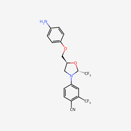 N#Cc1ccc(N2C[C@@H](COc3ccc(N)cc3)O[C@@H]2C(F)(F)F)cc1C(F)(F)F